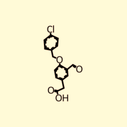 O=Cc1cc(CC(=O)O)ccc1OCc1ccc(Cl)cc1